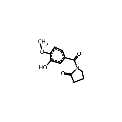 COc1ccc(C(=O)N2CC[CH]C2=O)cc1O